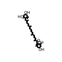 CC1=CC(O)CC(C)(C)[C@@]1(O)CC(=O)/C(C)=C/C=C/C(C)=C/C=C/C=C(C)/C=C/C=C(C)/C=C1\C(C)(C)C[C@H](O)C[C@@]1(C)O